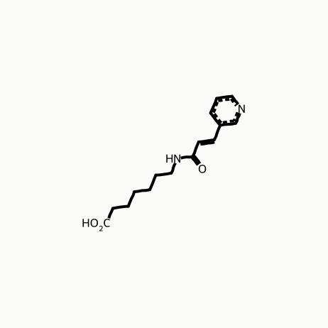 O=C(O)CCCCCCNC(=O)/C=C/c1cccnc1